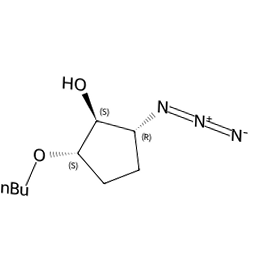 CCCCO[C@H]1CC[C@@H](N=[N+]=[N-])[C@@H]1O